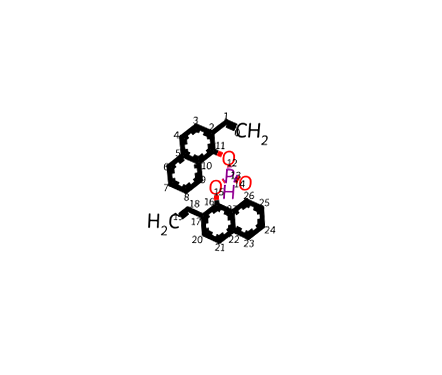 C=Cc1ccc2ccccc2c1O[PH](=O)Oc1c(C=C)ccc2ccccc12